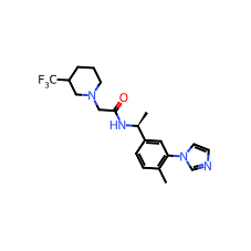 Cc1ccc([C@H](C)NC(=O)CN2CCCC(C(F)(F)F)C2)cc1-n1ccnc1